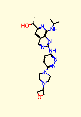 CC(C)Nc1nc([C@@H](C)O)cc2cnc(Nc3ccc(N4CCN(C5COC5)CC4)nn3)nc12